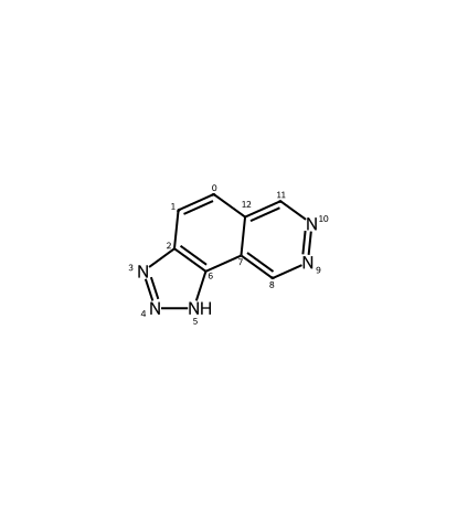 c1cc2nn[nH]c2c2cnncc12